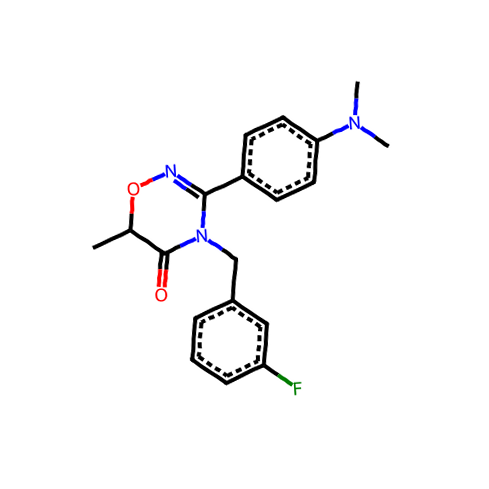 CC1ON=C(c2ccc(N(C)C)cc2)N(Cc2cccc(F)c2)C1=O